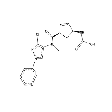 CN(C(=O)[C@H]1C=C[C@@H](NC(=O)O)C1)c1cn(-c2cccnc2)nc1Cl